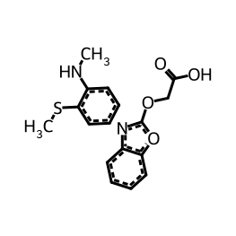 CNc1ccccc1SC.O=C(O)COc1nc2ccccc2o1